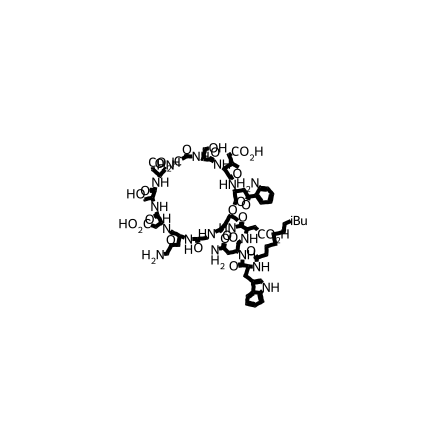 CCC(C)CCCCCCC(=O)NC(Cc1c[nH]c2ccccc12)C(=O)NC(CC(N)=O)C(=O)NC(CC(=O)O)C(=O)NC1C(=O)NCC(=O)NC(CCCN)C(=O)NC(CC(=O)O)C(=O)NC(CO)C(=O)NC(CC(=O)O)C(=O)NCC(=O)NC(CO)C(=O)NC(C(C)CC(=O)O)C(=O)NC(CC(=O)c2ccccc2N)C(=O)OC1C